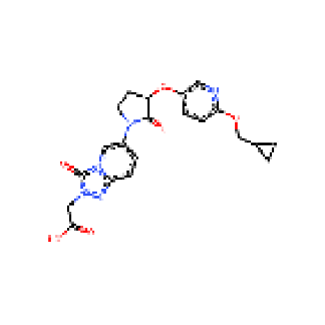 O=C(O)Cn1nc2ccc(N3CC[C@@H](Oc4ccc(OCC5CC5)nc4)C3=O)cn2c1=O